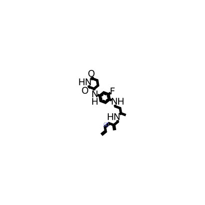 C=C/C=C\C(=C)CNC(C)CCNc1ccc(NC2CCC(=O)NC2=O)cc1F